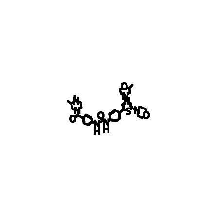 CC1CN(N2C=C(c3ccc(NC(=O)Nc4ccc(C(=O)N5CCN(C)C(C)C5)cc4)cc3)SC(N3CCOCC3)=C2)CCO1